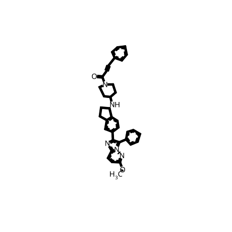 COc1ccc2nc(-c3ccc4c(c3)CC[C@@H]4NC3CCN(C(=O)C#Cc4ccccc4)CC3)c(-c3ccccc3)n2n1